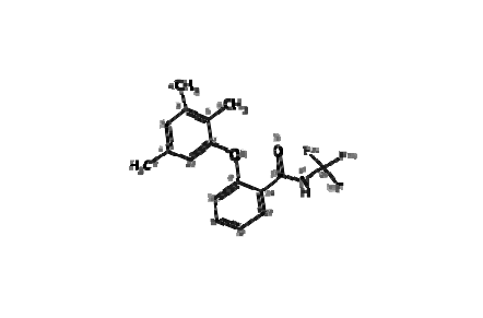 Cc1cc(C)c(C)c(Oc2ccccc2C(=O)NC(F)(F)F)c1